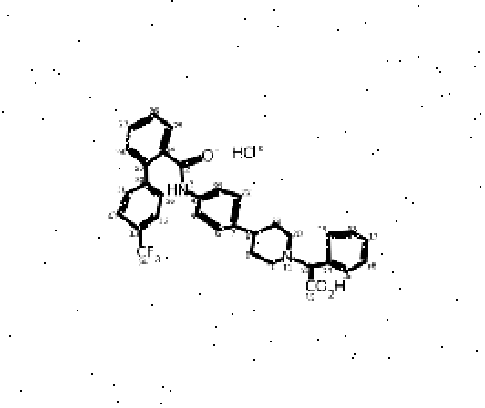 Cl.O=C(Nc1ccc(C2CCN(C(C(=O)O)c3ccccc3)CC2)cc1)c1ccccc1-c1ccc(C(F)(F)F)cc1